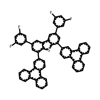 Fc1cc(F)cc(-c2cc(-c3ccc4c5ccccc5c5ccccc5c4c3)c3sc4c(-c5ccc6c7ccccc7c7ccccc7c6c5)cc(-c5cc(F)cc(F)c5)cc4c3c2)c1